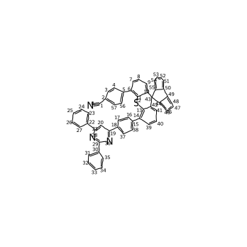 N#Cc1ccc(-c2cccc3c2Sc2c(-c4ccc(-c5cc(-c6ccccc6)nc(-c6ccccc6)n5)cc4)cccc2C32c3ccccc3-c3ccccc32)cc1